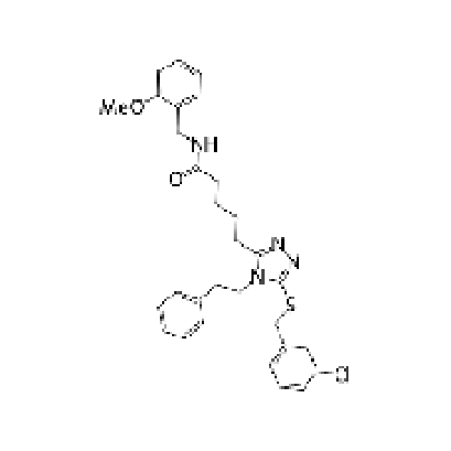 COc1ccccc1CNC(=O)CCCCc1nnc(SCC2=CC=CC(Cl)C2)n1CCc1ccccc1